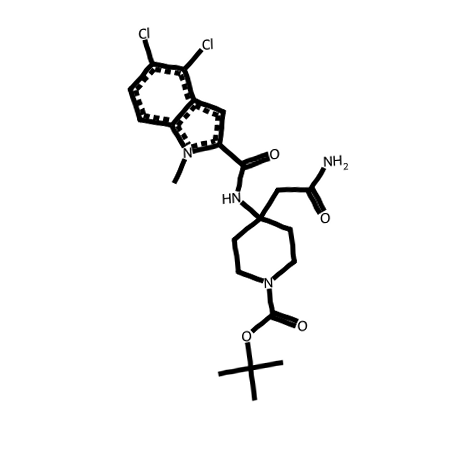 Cn1c(C(=O)NC2(CC(N)=O)CCN(C(=O)OC(C)(C)C)CC2)cc2c(Cl)c(Cl)ccc21